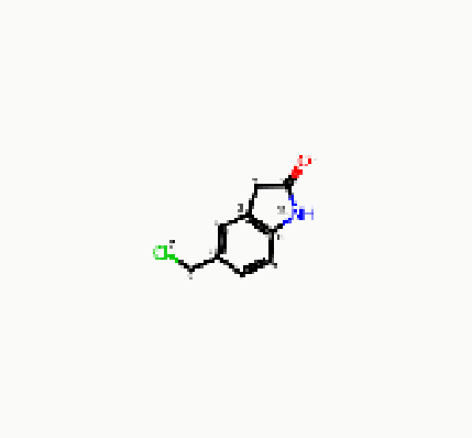 O=C1Cc2cc(CCl)ccc2N1